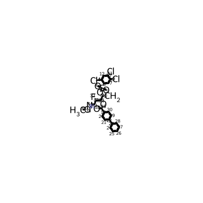 [CH2][C@@H](OS(=O)(=O)c1cc(Cl)c(Cl)cc1Cl)[C@@H](OC(=O)c1ccc(-c2ccccc2)cc1)[C@H](F)/C=N/OC